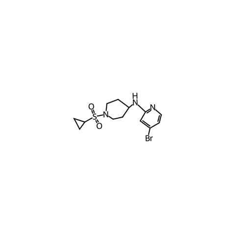 O=S(=O)(C1CC1)N1CCC(Nc2cc(Br)ccn2)CC1